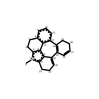 Cn1c2c3c4c1CCc1cccc(c1-4)C1=C(C=CCC1)C3=CCC2